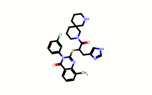 Cc1cccc2c(=O)n(-c3cccc(Cl)c3)c(SC(Cc3c[nH]cn3)C(=O)N3CCCC4(CCCNC4)C3)nc12